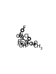 CC(=O)N1CCC(C(=O)N(CCCN2CCN(Cc3ccc(F)cc3)C(=O)C2)c2cccc(Cl)c2)CC1.O=C(O)C(F)(F)F